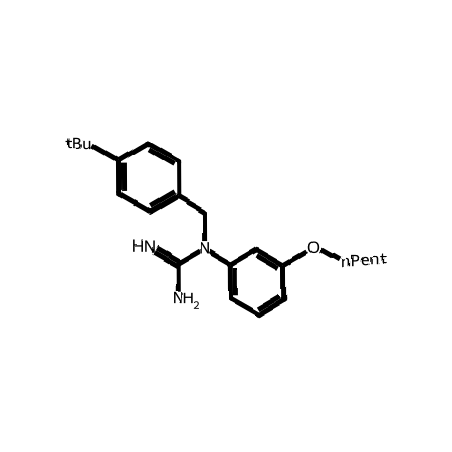 CCCCCOc1cccc(N(Cc2ccc(C(C)(C)C)cc2)C(=N)N)c1